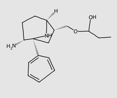 CCC(O)OC[C@@H]1C[C@]2(c3ccccc3)N[C@H]1CC[C@H]2N